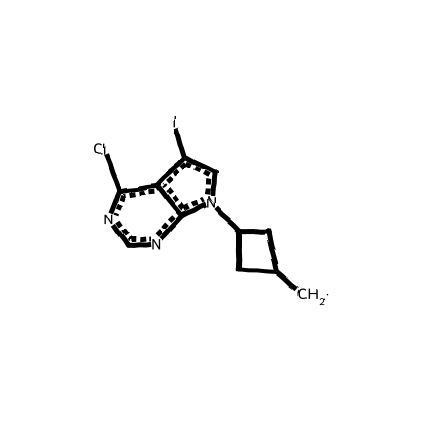 [CH2]C1CC(n2cc(I)c3c(Cl)ncnc32)C1